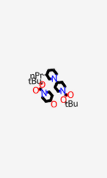 CC(C)(C)OC(=O)N1CCC(=O)CC1.CCC[C@@H]1CCCN(C2CCN(C(=O)OC(C)(C)C)CC2)C1